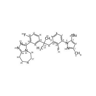 Cc1cc(C(C)(C)C)n(-c2cccc(CC(C)(C)c3ccc(F)c(-c4nnc5n4CCCCC5)c3)c2F)n1